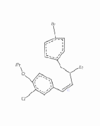 CCC(/C=C\c1ccc(OC(C)C)c(Cl)c1)Cc1ccc(Br)cc1